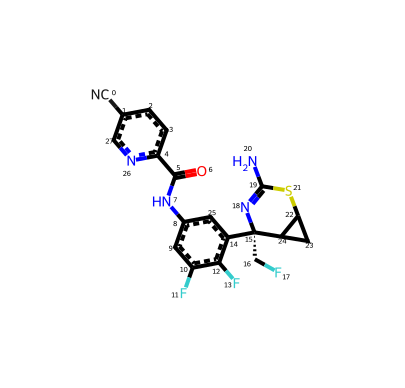 N#Cc1ccc(C(=O)Nc2cc(F)c(F)c([C@@]3(CF)N=C(N)SC4CC43)c2)nc1